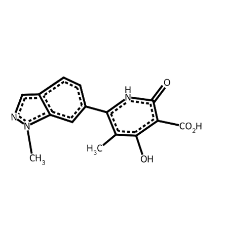 Cc1c(-c2ccc3cnn(C)c3c2)[nH]c(=O)c(C(=O)O)c1O